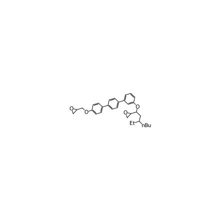 CCCCC(CC)CC(Oc1cccc(-c2ccc(-c3ccc(OCC4CO4)cc3)cc2)c1)C1CO1